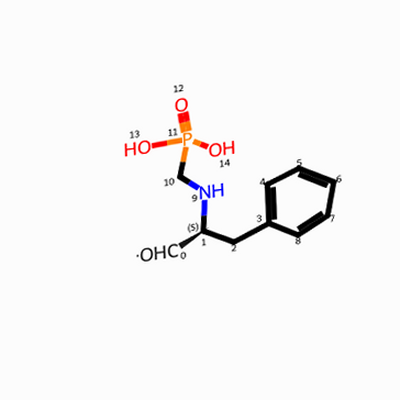 O=[C][C@H](Cc1ccccc1)NCP(=O)(O)O